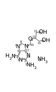 N.Nc1nc(N)c2ncn(COC(CO)CO)c2n1